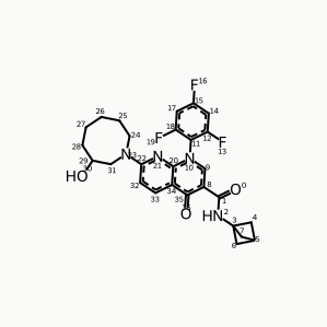 O=C(NC12CC(C1)C2)c1cn(-c2c(F)cc(F)cc2F)c2nc(N3CCCCCC(O)C3)ccc2c1=O